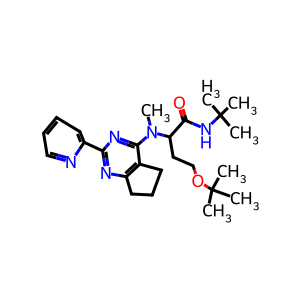 CN(c1nc(-c2ccccn2)nc2c1CCC2)C(CCOC(C)(C)C)C(=O)NC(C)(C)C